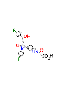 O=C(CS(=O)(=O)O)NCc1ccc(C2C(CCC(O)c3ccc(F)cc3)C(=O)N2c2ccc(F)cc2)cc1